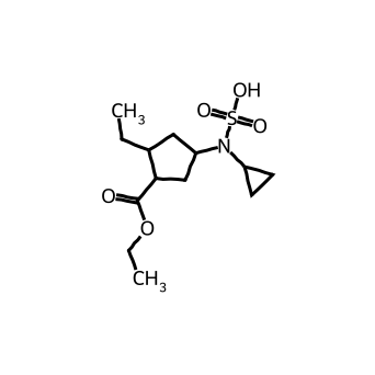 CCOC(=O)C1CC(N(C2CC2)S(=O)(=O)O)CC1CC